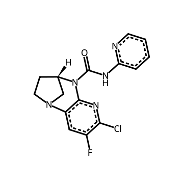 O=C(Nc1ccccn1)N1c2nc(Cl)c(F)cc2N2CC[C@H]1C2